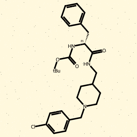 CC(C)(C)OC(=O)N[C@H](Cc1ccccc1)C(=O)NCC1CCN(Cc2ccc(Cl)cc2)CC1